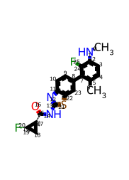 CNc1ccc(C)c(-c2ccc3nc(NC(=O)[C@@H]4C[C@@H]4F)sc3c2)c1F